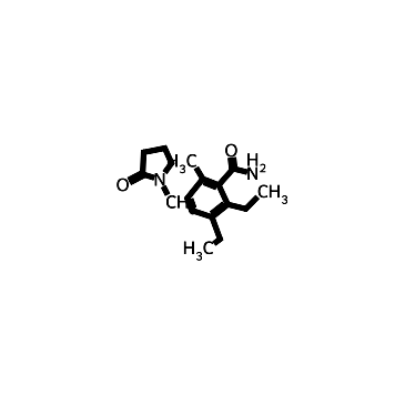 CCc1ccc(C)c(C(N)=O)c1CC.CN1CCCC1=O